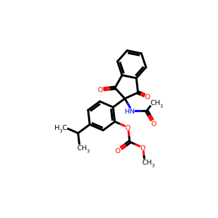 COC(=O)Oc1cc(C(C)C)ccc1C1(NC(C)=O)C(=O)c2ccccc2C1=O